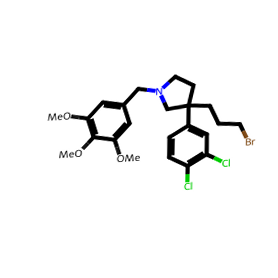 COc1cc(CN2CCC(CCCBr)(c3ccc(Cl)c(Cl)c3)C2)cc(OC)c1OC